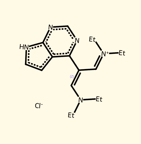 CCN(/C=C(\C=[N+](CC)CC)c1ncnc2[nH]ccc12)CC.[Cl-]